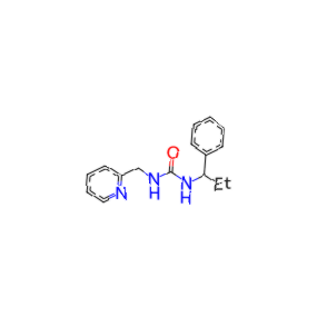 CCC(NC(=O)NCc1ccccn1)c1ccccc1